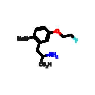 CNc1ccc(OCCF)cc1CC(N)C(=O)O